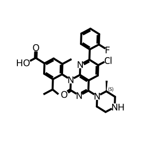 Cc1cc(C(=O)O)cc(C(C)C)c1-n1c(=O)nc(N2CCNC[C@@H]2C)c2cc(Cl)c(-c3ccccc3F)nc21